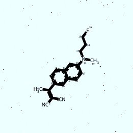 CC(=C(C#N)C#N)c1ccc2cc(N(C)CCCF)ccc2c1